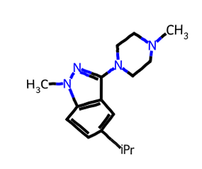 CC(C)c1ccc2c(c1)c(N1CCN(C)CC1)nn2C